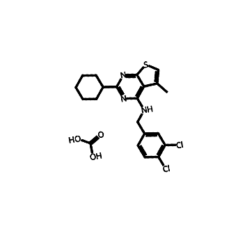 Cc1csc2nc(C3CCCCC3)nc(NCc3ccc(Cl)c(Cl)c3)c12.O=C(O)O